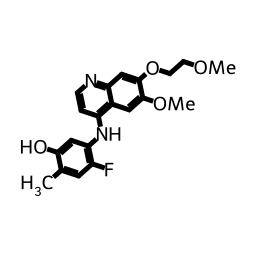 COCCOc1cc2nccc(Nc3cc(O)c(C)cc3F)c2cc1OC